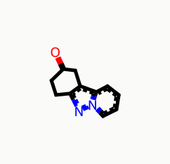 O=C1CCc2nn3ccccc3c2C1